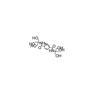 O=C(NC(CO)(CO)CO)c1ccc(C(=O)NC(CO)(CO)CO)nc1